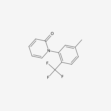 Cc1ccc(C(F)(F)F)c(-n2ccccc2=O)c1